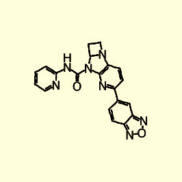 O=C(Nc1ccccn1)N1c2nc(-c3ccc4nonc4c3)ccc2N2CCC21